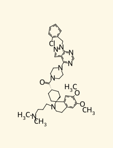 COc1cc2c(cc1OC)[C@]1(CC[C@@H](C(=O)N3CCN(c4ncnc5c4cnn5Cc4ccccc4Cl)CC3)CC1)N(CCCN(C)C)CC2